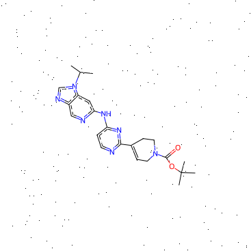 CC(C)n1cnc2cnc(Nc3ccnc(C4=CCN(C(=O)OC(C)(C)C)CC4)n3)cc21